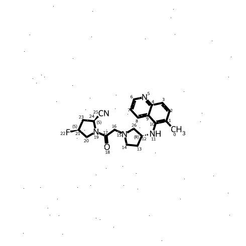 Cc1ccc2ncccc2c1N[C@@H]1CCN(CC(=O)N2C[C@@H](F)C[C@H]2C#N)C1